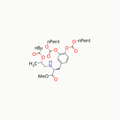 CCCCCOC(=O)Oc1ccc(C[C@H](NCC(C)OC(=O)CCCC)C(=O)OC)cc1OC(=O)OCCCCC